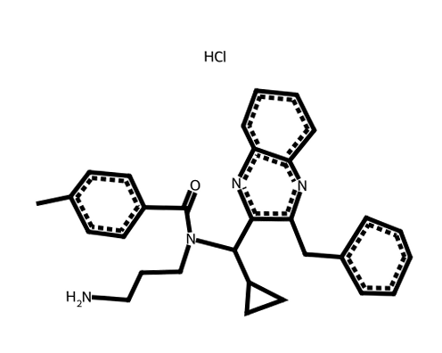 Cc1ccc(C(=O)N(CCCN)C(c2nc3ccccc3nc2Cc2ccccc2)C2CC2)cc1.Cl